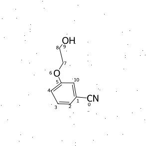 N#Cc1cccc(OCCO)c1